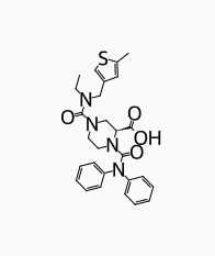 CCN(Cc1csc(C)c1)C(=O)N1CCN(C(=O)N(c2ccccc2)c2ccccc2)[C@H](C(=O)O)C1